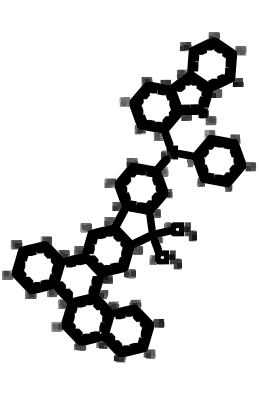 CC1(C)c2cc(N(c3ccccc3)c3cccc4c3sc3ccccc34)ccc2-c2cc3c4ccccc4c4ccc5ccccc5c4c3cc21